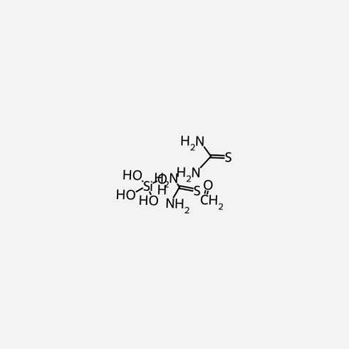 C=O.NC(N)=S.NC(N)=S.O[Si](O)(O)O